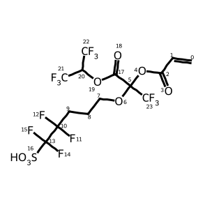 C=CC(=O)OC(OCCCC(F)(F)C(F)(F)S(=O)(=O)O)(C(=O)OC(C(F)(F)F)C(F)(F)F)C(F)(F)F